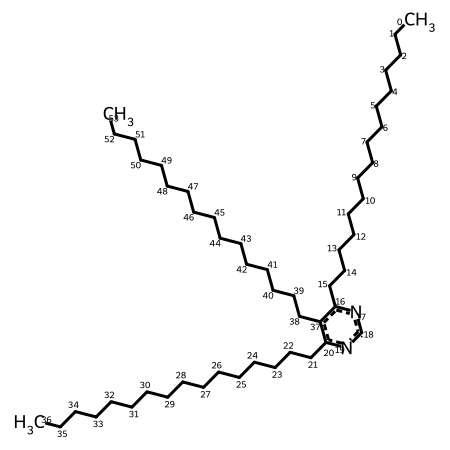 CCCCCCCCCCCCCCCCc1n[c]nc(CCCCCCCCCCCCCCCC)c1CCCCCCCCCCCCCCCC